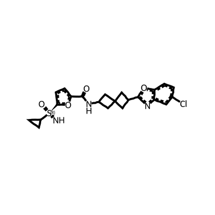 N=[S@](=O)(c1ccc(C(=O)NC2CC3(C2)CC(c2nc4cc(Cl)ccc4o2)C3)o1)C1CC1